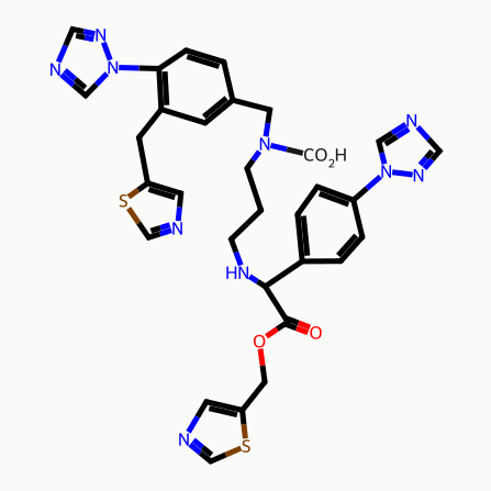 O=C(OCc1cncs1)C(NCCCN(Cc1ccc(-n2cncn2)c(Cc2cncs2)c1)C(=O)O)c1ccc(-n2cncn2)cc1